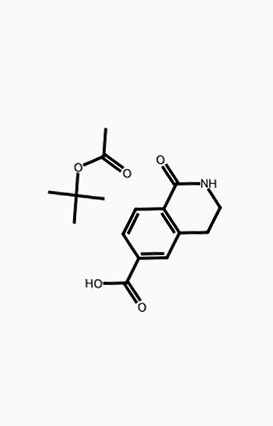 CC(=O)OC(C)(C)C.O=C(O)c1ccc2c(c1)CCNC2=O